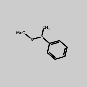 COSP(C)c1ccccc1